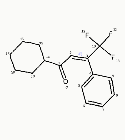 O=C(/C=C(\c1ccccc1)C(F)(F)F)C1CCCCC1